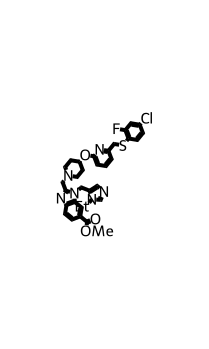 CCn1cncc1Cn1c(CN2CCC(Oc3cccc(CSc4ccc(Cl)cc4F)n3)CC2)nc2ccc(C(=O)OC)cc21